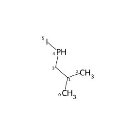 CC(C)CPI